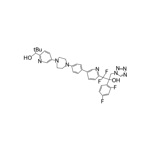 CC(C)(C)C(O)c1ccc(N2CCN(c3ccc(-c4ccc(C(F)(F)C(O)(Cn5cnnn5)c5ccc(F)cc5F)nc4)cc3)CC2)cn1